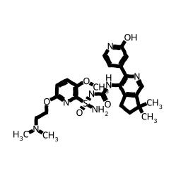 COc1ccc(OCCN(C)C)nc1S(N)(=O)=NC(=O)Nc1c(-c2ccnc(O)c2)ncc2c1CCC2(C)C